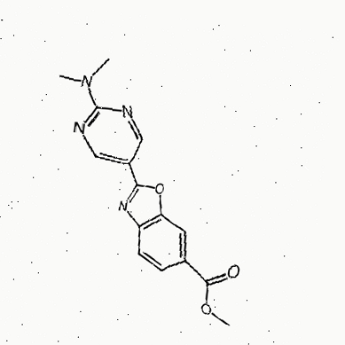 COC(=O)c1ccc2nc(-c3cnc(N(C)C)nc3)oc2c1